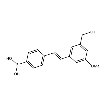 COc1cc(/C=C/c2ccc(B(O)O)cc2)cc(CO)c1